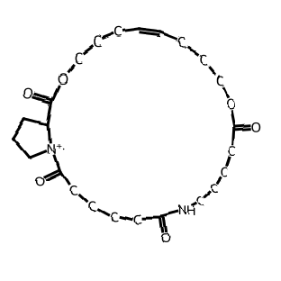 O=C1CCCCC(=O)[N+]2CCCC2C(=O)OCCCC=CCCCOC(=O)CCCCN1